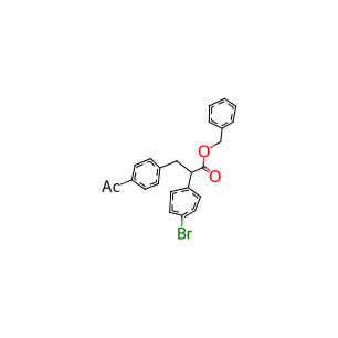 CC(=O)c1ccc(CC(C(=O)OCc2ccccc2)c2ccc(Br)cc2)cc1